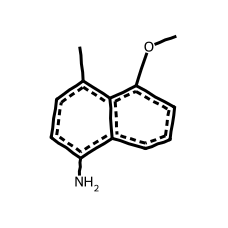 COc1cccc2c(N)ccc(C)c12